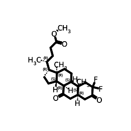 COC(=O)CC[C@@H](C)[C@H]1CC[C@H]2[C@@H]3C(=O)C[C@@H]4CC(=O)C(F)(F)C[C@]4(C)[C@H]3CC[C@]12C